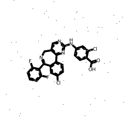 O=C(O)c1ccc(Nc2ncc3c(n2)-c2ccc(Cl)cc2C(c2c(F)cccc2F)=NC3)cc1Cl